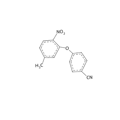 Cc1ccc([N+](=O)[O-])c(Oc2ccc(C#N)cc2)c1